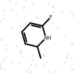 CC1C=CC=C(F)N1